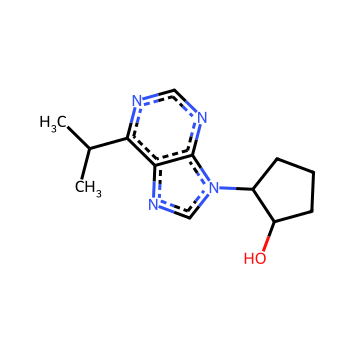 CC(C)c1ncnc2c1ncn2C1CCCC1O